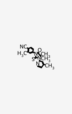 Cc1ccnc(N2C(=S)N(c3ccc(C#N)c(C)c3)C(=O)C2(C)C)c1